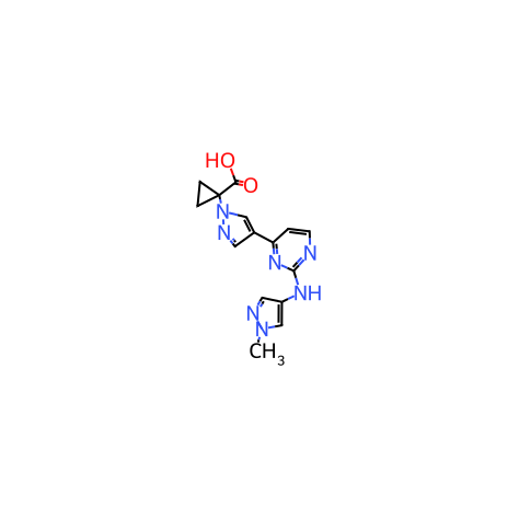 Cn1cc(Nc2nccc(-c3cnn(C4(C(=O)O)CC4)c3)n2)cn1